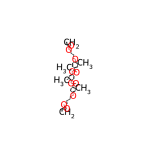 C=CC(=O)OCCCCOc1ccc(C(=O)Oc2ccc(OC(=O)c3cc(C)c(OCCCCOC(=O)C=C)cc3C)cc2C)c(C)c1